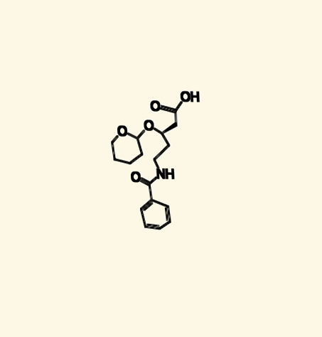 O=C(O)C[C@@H](CCNC(=O)c1ccccc1)OC1CCCCO1